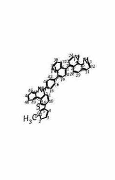 CC1CC=Cc2c1sc1c2ccc2c(-c3ccc(-c4ccc(-c5ccnc6c5ccc5cccnc56)c5cccnc45)cc3)nc3ccccc3c21